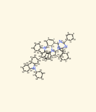 C1=CC(c2nc(-c3ccccc3)nc(-c3ccccc3)n2)C(n2c3c(c4ccccc42)CCC=C3)C(n2c3ccccc3c3c(-c4ccc5c6ccccc6n(-c6ccccc6)c5c4)cccc32)=C1